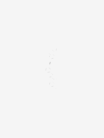 O=C1CCc2cc(C#Cc3cccc(NC(=O)Nc4cccc(C(F)(F)F)c4)c3)cnc2N1